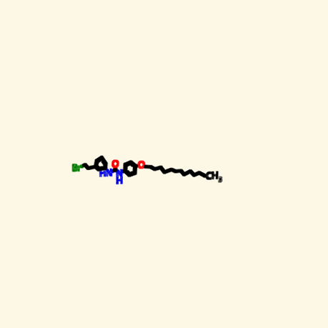 CCCCCCCCCCCCCCOc1ccc(NC(=O)Nc2cccc(CCBr)c2)cc1